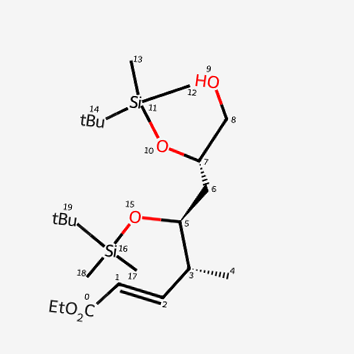 CCOC(=O)C=C[C@@H](C)[C@H](C[C@@H](CO)O[Si](C)(C)C(C)(C)C)O[Si](C)(C)C(C)(C)C